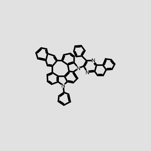 c1ccc(-c2nc3c(ccc4ccccc43)nc2-n2c3cccc4c5cc6ccccc6cc5c5cccc6c5c5c(c43)c2ccc5n6-c2ccccc2)cc1